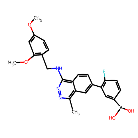 COc1ccc(CNc2nnc(C)c3cc(-c4cc(B(O)O)ccc4F)ccc23)c(OC)c1